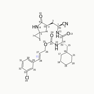 N#C[C@H](C[C@H]1CC2(CC2)NC1=O)NC(=O)[C@H](CC1CCCCC1)NC(=O)OC/C=C/c1cccc(Cl)c1